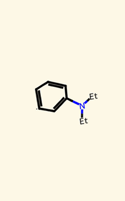 CCN(CC)c1c[c]ccc1